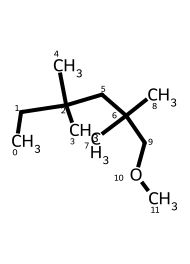 CCC(C)(C)CC(C)(C)COC